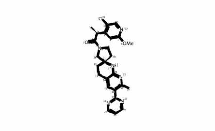 COc1cc([C@H](C)C(=O)N2CC[C@@]3(CCc4cc(-c5ncccn5)c(C)nc4N3)C2)c(Cl)cn1